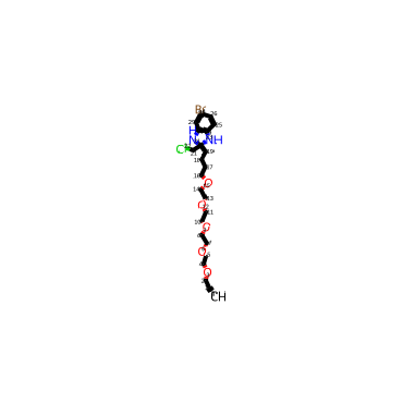 C#CCOCCOCCOCCOCCOCCCCC1(CCl)Nc2ccc(Br)cc2N1